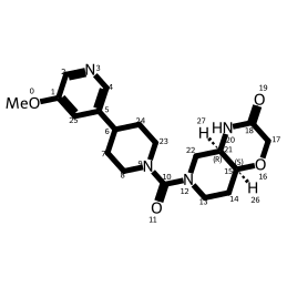 COc1cncc(C2CCN(C(=O)N3CC[C@@H]4OCC(=O)N[C@@H]4C3)CC2)c1